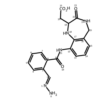 NN=Cc1ccccc1C(=O)Nc1cccc2c1NC(CC(=O)O)C(=O)NC2